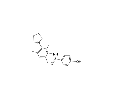 Cc1cc(C)c(N2CCCC2)c(C)c1NC(=O)c1ccc(O)cc1